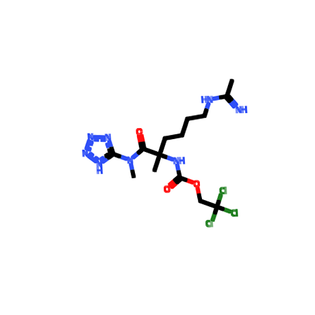 CC(=N)NCCCCC(C)(NC(=O)OCC(Cl)(Cl)Cl)C(=O)N(C)c1nnn[nH]1